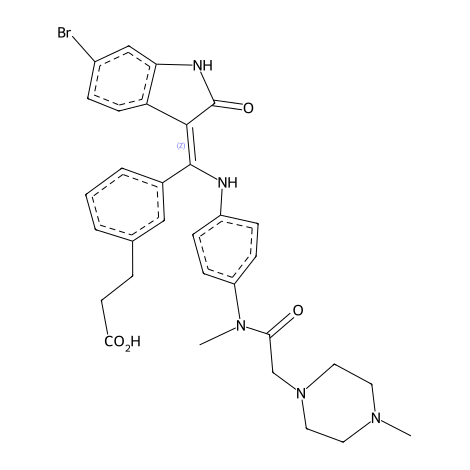 CN1CCN(CC(=O)N(C)c2ccc(N/C(=C3\C(=O)Nc4cc(Br)ccc43)c3cccc(CCC(=O)O)c3)cc2)CC1